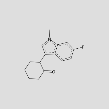 Cn1cc(C2CCCCC2=O)c2ccc(F)cc21